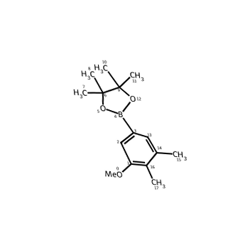 COc1cc(B2OC(C)(C)C(C)(C)O2)cc(C)c1C